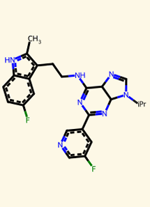 Cc1[nH]c2ccc(F)cc2c1CCNC1=NC(c2cncc(F)c2)=NC2C1N=CN2C(C)C